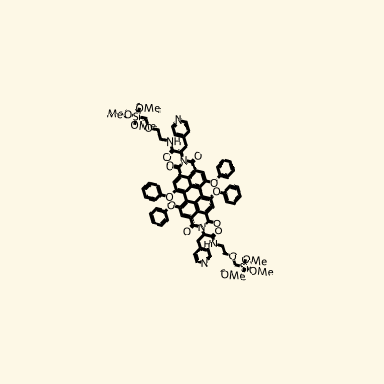 CO[Si](COCCNC(=O)C(Cc1ccncc1)N1C(=O)c2cc(Oc3ccccc3)c3c4c(Oc5ccccc5)cc5c6c(cc(Oc7ccccc7)c(c7c(Oc8ccccc8)cc(c2c37)C1=O)c64)C(=O)N(C(Cc1ccncc1)C(=O)NCCOC[Si](OC)(OC)OC)C5=O)(OC)OC